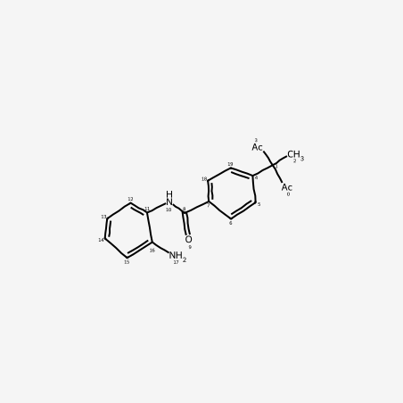 CC(=O)C(C)(C(C)=O)c1ccc(C(=O)Nc2ccccc2N)cc1